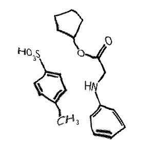 Cc1ccc(S(=O)(=O)O)cc1.O=C(CNc1ccccc1)OC1CCCC1